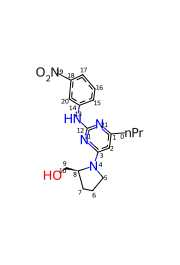 CCCc1cc(N2CCC[C@H]2CO)nc(Nc2cccc([N+](=O)[O-])c2)n1